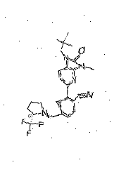 Cn1c(=O)n(CC(C)(C)C)c2ccc(-c3cc(CN4CCC[C@H]4C(F)(F)F)ccc3C#N)nc21